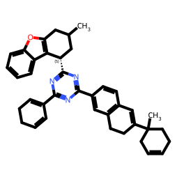 CC1Cc2oc3ccccc3c2[C@@H](c2nc(C3=CCCC=C3)nc(-c3ccc4c(c3)CCC(C3(C)CC=CCC3)=C4)n2)C1